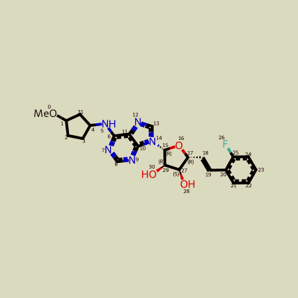 COC1CCC(Nc2ncnc3c2ncn3[C@@H]2O[C@H](C=Cc3ccccc3F)[C@@H](O)[C@H]2O)C1